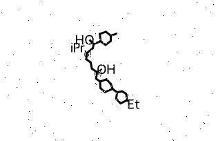 CCC1CCC(C2CCC(C[C@H](O)CCC[C@@H](CC(O)C3CCC(C)CC3)C(C)C)CC2)CC1